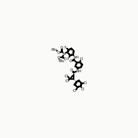 CC(C)(C)OC(=O)N(C(=O)OC(C)(C)C)c1c(F)ccc(NC(=O)c2cc(NC(=O)[C@H]3[C@H](c4cc(Cl)c(Cl)c(Cl)c4)C3(Cl)Cl)ccc2Cl)c1F